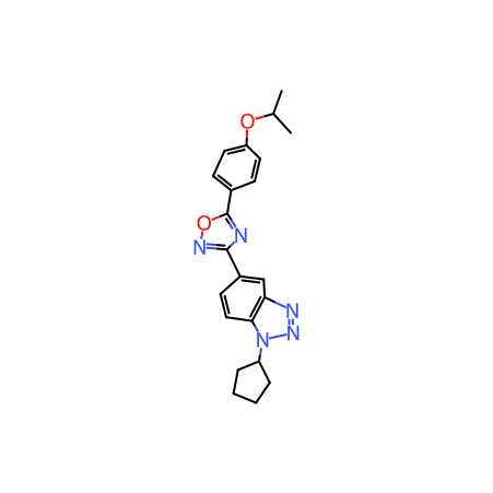 CC(C)Oc1ccc(-c2nc(-c3ccc4c(c3)nnn4C3CCCC3)no2)cc1